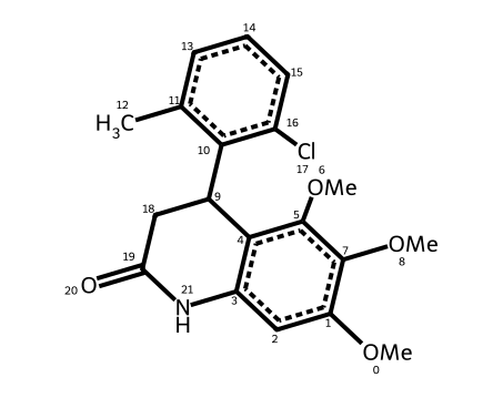 COc1cc2c(c(OC)c1OC)C(c1c(C)cccc1Cl)CC(=O)N2